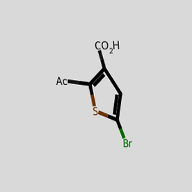 CC(=O)c1sc(Br)cc1C(=O)O